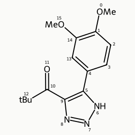 COc1ccc(-c2[nH]nnc2C(=O)C(C)(C)C)cc1OC